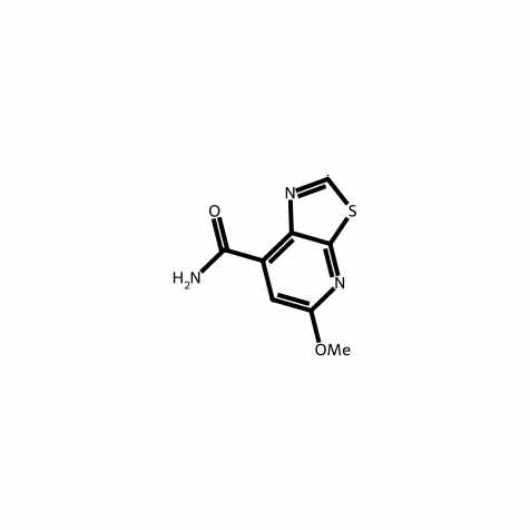 COc1cc(C(N)=O)c2n[c]sc2n1